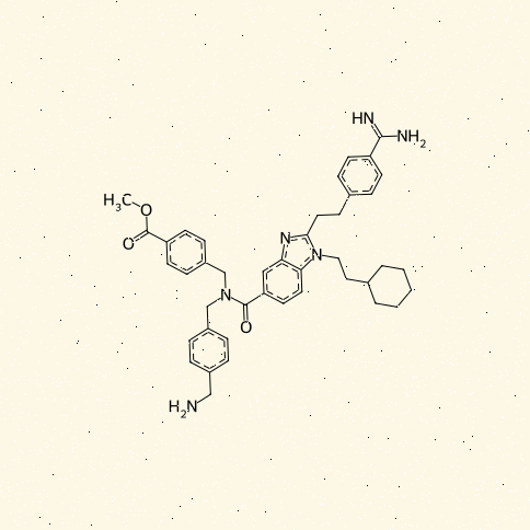 COC(=O)c1ccc(CN(Cc2ccc(CN)cc2)C(=O)c2ccc3c(c2)nc(CCc2ccc(C(=N)N)cc2)n3CCC2CCCCC2)cc1